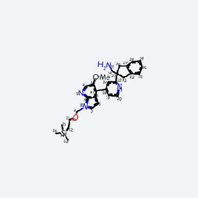 COc1cnc2c(ccn2COCC[Si](C)(C)C)c1-c1ccnc(C2(CN)Cc3ccccc3C2)c1